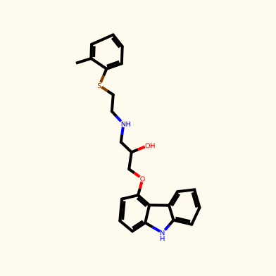 Cc1ccccc1SCCNCC(O)COc1cccc2[nH]c3ccccc3c12